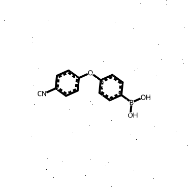 [C-]#[N+]c1ccc(Oc2ccc(B(O)O)cc2)cc1